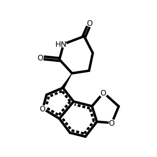 O=C1CC[C@@H](c2coc3ccc4c(c23)OCO4)C(=O)N1